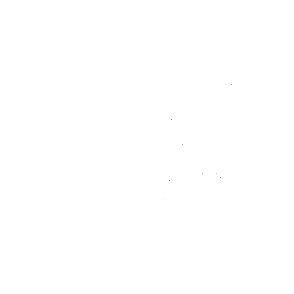 C[C@@H]1COCCN1c1cc(CC#N)c2cnn(-c3ccn(COCC[Si](C)(C)C)n3)c2n1